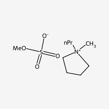 CCC[N+]1(C)CCCC1.COS(=O)(=O)[O-]